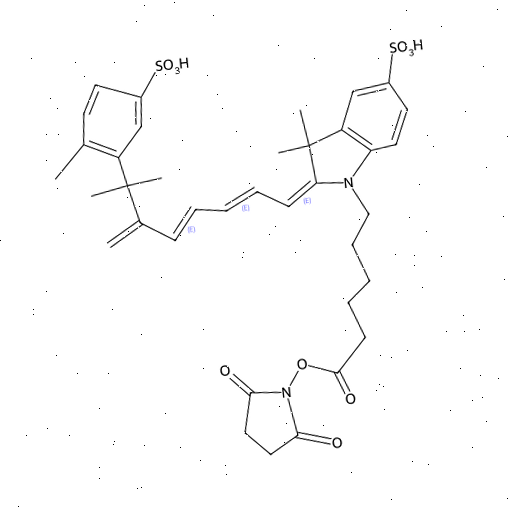 C=C(/C=C/C=C/C=C1/N(CCCCCC(=O)ON2C(=O)CCC2=O)c2ccc(S(=O)(=O)O)cc2C1(C)C)C(C)(C)c1cc(S(=O)(=O)O)ccc1C